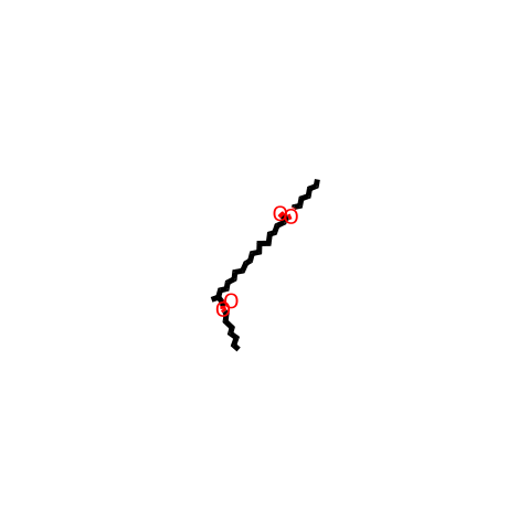 CCCCCCCOC(=O)CCCCCCCCCCCCCCCCC(C)C(=O)OCCCCCCC